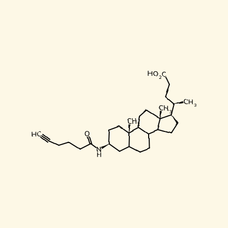 C#CCCCC(=O)N[C@H]1CC[C@@]2(C)C(CCC3C2CC[C@@]2(C)C3CC[C@@H]2[C@H](C)CCC(=O)O)C1